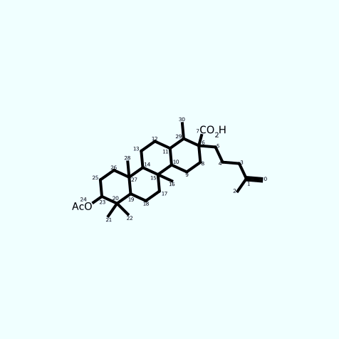 C=C(C)CCCC1(C(=O)O)CCC2C(CCC3C2(C)CCC2C(C)(C)C(OC(C)=O)CCC23C)C1C